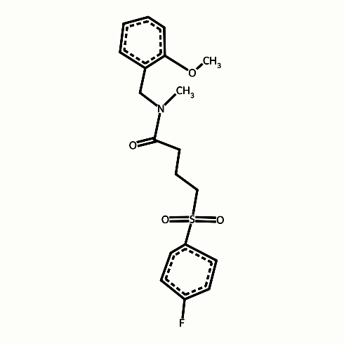 COc1ccccc1CN(C)C(=O)CCCS(=O)(=O)c1ccc(F)cc1